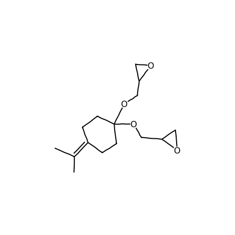 CC(C)=C1CCC(OCC2CO2)(OCC2CO2)CC1